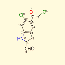 O=CC1Cc2cc(C(=O)CCl)c(Cl)cc2N1